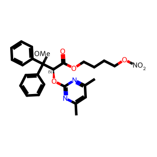 COC(c1ccccc1)(c1ccccc1)[C@H](Oc1nc(C)cc(C)n1)C(=O)OCCCCO[N+](=O)[O-]